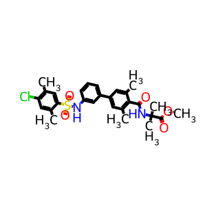 COC(=O)C(C)(C)NC(=O)c1c(C)cc(-c2cccc(NS(=O)(=O)c3cc(C)c(Cl)cc3C)c2)cc1C